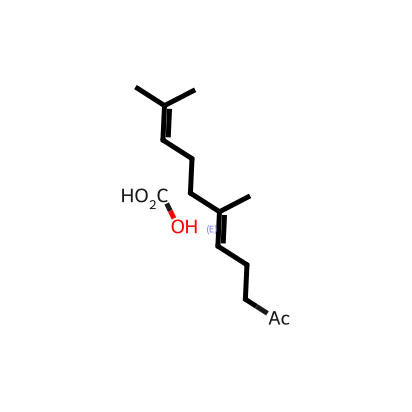 CC(=O)CC/C=C(\C)CCC=C(C)C.O=C(O)O